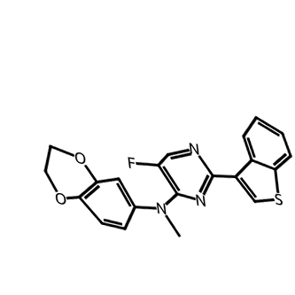 CN(c1ccc2c(c1)OCCO2)c1nc(-c2csc3ccccc23)ncc1F